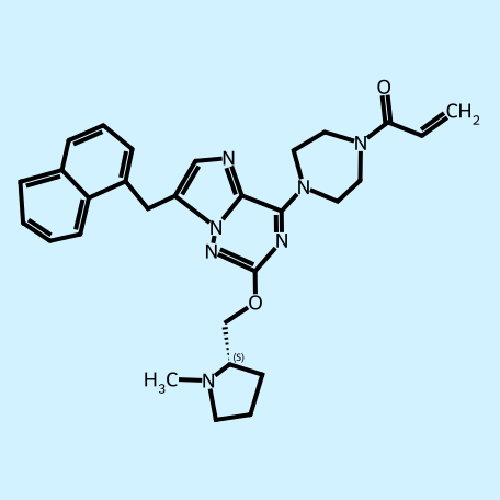 C=CC(=O)N1CCN(c2nc(OC[C@@H]3CCCN3C)nn3c(Cc4cccc5ccccc45)cnc23)CC1